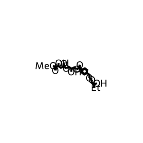 CCC(O)COOCc1ccc(C(=O)OCC(O)COC(=O)CC(O)C(=O)OC)cc1